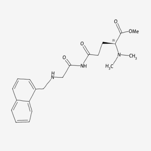 COC(=O)[C@H](CCC(=O)NC(=O)CNCc1cccc2ccccc12)N(C)C